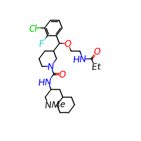 CCC(=O)NCCOC(c1cccc(Cl)c1F)C1CCCN(C(=O)NC(CNC)CC2CCCCC2)C1